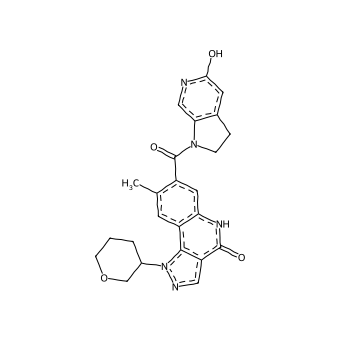 Cc1cc2c(cc1C(=O)N1CCc3cc(O)ncc31)[nH]c(=O)c1cnn(C3CCCOC3)c12